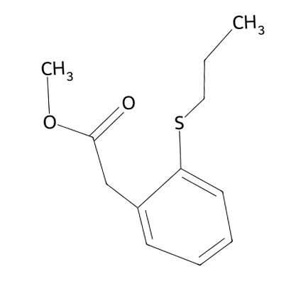 CCCSc1ccccc1CC(=O)OC